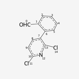 O=Cc1ccccc1-c1ccc(Cl)nc1Cl